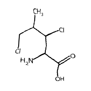 CC(CCl)C(Cl)C(N)C(=O)O